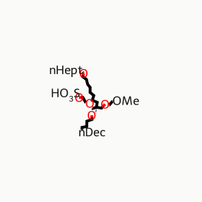 CCCCCCCCCCCCCCOC[C@](CCCCCCCCOCCCCCCC)(COCCOC)COCCOS(=O)(=O)O